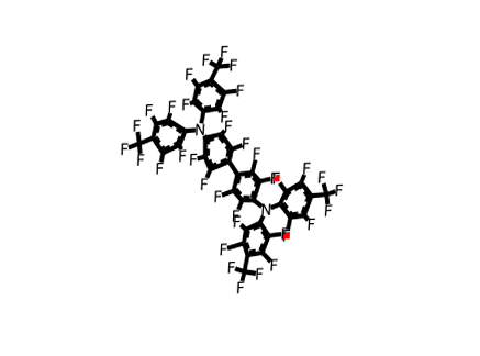 Fc1c(F)c(N(c2c(F)c(F)c(C(F)(F)F)c(F)c2F)c2c(F)c(F)c(C(F)(F)F)c(F)c2F)c(F)c(F)c1-c1c(F)c(F)c(N(c2c(F)c(F)c(C(F)(F)F)c(F)c2F)c2c(F)c(F)c(C(F)(F)F)c(F)c2F)c(F)c1F